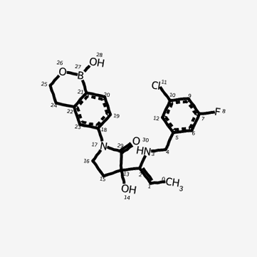 CC=C(NCc1cc(F)cc(Cl)c1)C1(O)CCN(c2ccc3c(c2)CCOB3O)C1=O